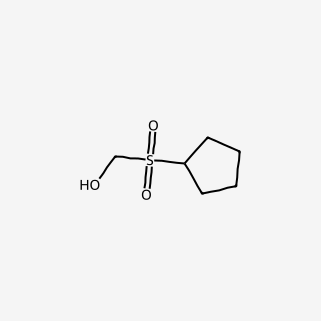 O=S(=O)(CO)C1CCCC1